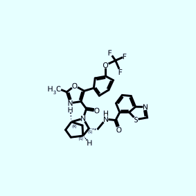 Cc1nc(C(=O)N2[C@@H]3CC[C@@H](C3)[C@H]2CNC(=O)c2cccc3ncsc23)c(-c2cccc(OC(F)(F)F)c2)o1